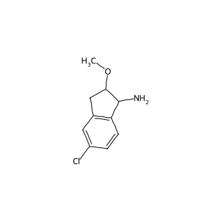 COC1Cc2cc(Cl)ccc2C1N